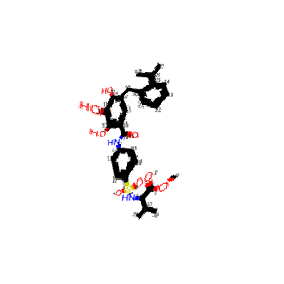 COC(=O)C(NS(=O)(=O)c1ccc(NC(=O)c2cc(Cc3ccccc3C(C)C)c(O)c(O)c2O)cc1)C(C)C